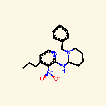 CCCc1ccnc(NC2CCCCN2Cc2ccccc2)c1[N+](=O)[O-]